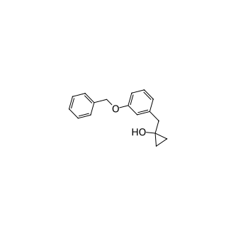 OC1(Cc2cccc(OCc3ccccc3)c2)CC1